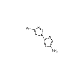 CC(C)c1cn(-c2ccc(N)cn2)cn1